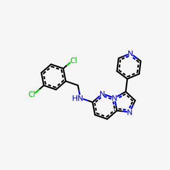 Clc1ccc(Cl)c(CNc2ccc3ncc(-c4ccncc4)n3n2)c1